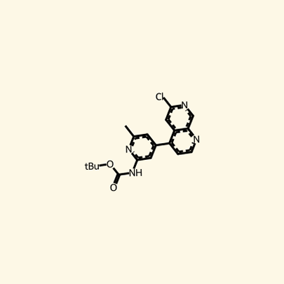 Cc1cc(-c2ccnc3cnc(Cl)cc23)cc(NC(=O)OC(C)(C)C)n1